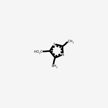 Bc1nc(C)sc1C(=O)O